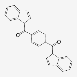 O=C(c1ccc(C(=O)C2C=Cc3ccccc32)cc1)C1C=Cc2ccccc21